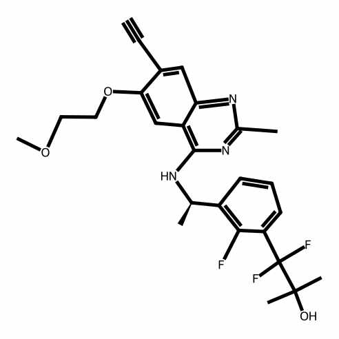 C#Cc1cc2nc(C)nc(N[C@H](C)c3cccc(C(F)(F)C(C)(C)O)c3F)c2cc1OCCOC